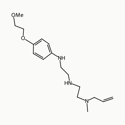 C=CCN(C)CCNCCNc1ccc(OCCOC)cc1